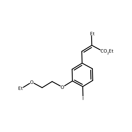 CCOCCOc1cc(C=C(CC)C(=O)OCC)ccc1I